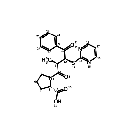 C[C@H](C(=O)N1CCC[C@H]1C(=O)O)[C@H](Sc1ncccn1)C(=O)c1ccccc1